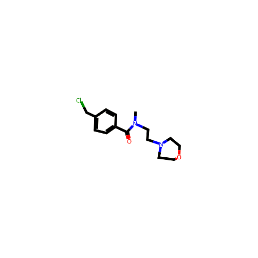 CN(CCN1CCOCC1)C(=O)c1ccc(CCl)cc1